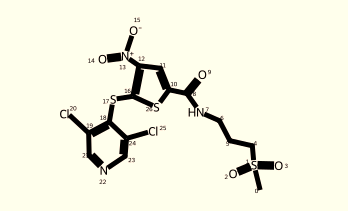 CS(=O)(=O)CCCNC(=O)c1cc([N+](=O)[O-])c(Sc2c(Cl)cncc2Cl)s1